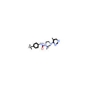 Cc1cncnc1N1CCN(C(=O)Nc2ccc([Si](C)(C)C)cc2)[C@H](C)C1